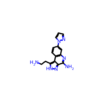 NCCc1[nH]nc2c(N)nc3cc(-n4cccn4)ccc3c12